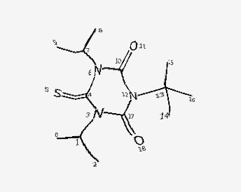 CC(C)n1c(=S)n(C(C)C)c(=O)n(C(C)(C)C)c1=O